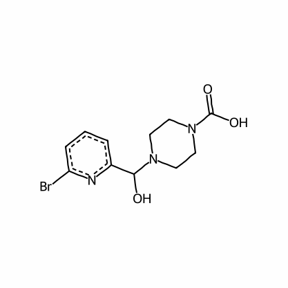 O=C(O)N1CCN(C(O)c2cccc(Br)n2)CC1